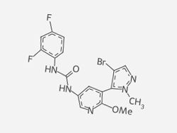 COc1ncc(NC(=O)Nc2ccc(F)cc2F)cc1-c1c(Br)cnn1C